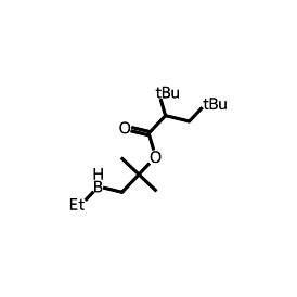 CCBCC(C)(C)OC(=O)C(CC(C)(C)C)C(C)(C)C